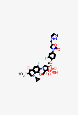 O=C(O)c1cn(C2CC2)c2c3c(c(F)cc2c1=O)N1C[C@@](COc2ccc(N4C[C@@H](Cn5ccnn5)OC4=O)cc2F)(OP(=O)(O)O)C[C@H]1CO3